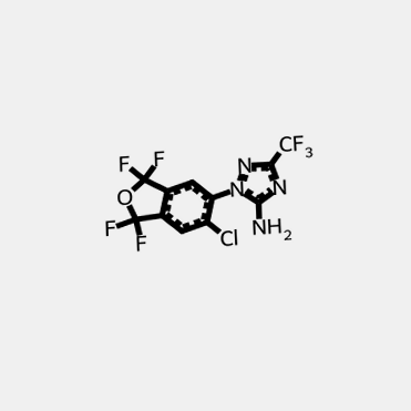 Nc1nc(C(F)(F)F)nn1-c1cc2c(cc1Cl)C(F)(F)OC2(F)F